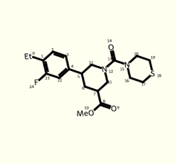 CCc1ccc(C2CC(C(=O)OC)CN(C(=O)N3CCSCC3)C2)cc1F